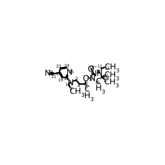 CCN(CCC(C)O/N=[N+](\[O-])N(CC)C(C)(C)C)c1cc(C#N)ccn1